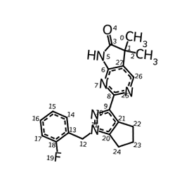 CC1(C)C(=O)Nc2nc(-c3nn(Cc4ccccc4F)c4c3CCC4)ncc21